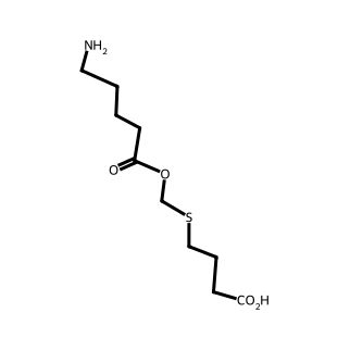 NCCCCC(=O)OCSCCCC(=O)O